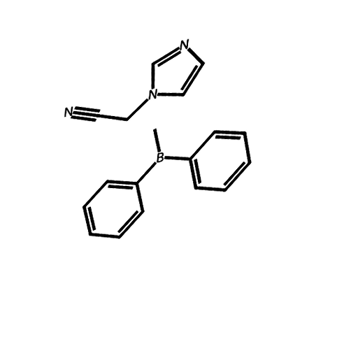 CB(c1ccccc1)c1ccccc1.N#CCn1ccnc1